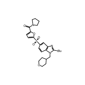 CC(C)(C)c1nc2cc(S(=O)(=O)c3ccc(C(=O)N4CCCC4)o3)ccc2n1CC1CCOCC1